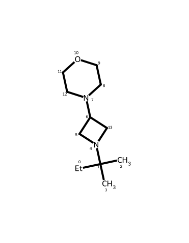 CCC(C)(C)N1CC(N2CCOCC2)C1